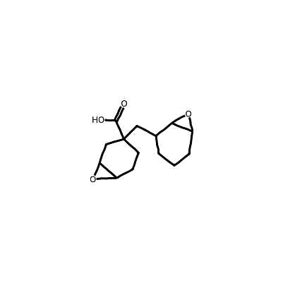 O=C(O)C1(CC2CCCC3OC23)CCC2OC2C1